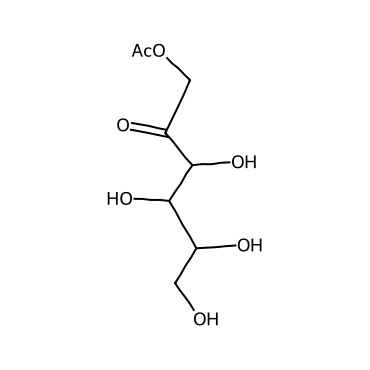 CC(=O)OCC(=O)C(O)C(O)C(O)CO